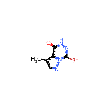 Cc1cnn2c(Br)n[nH]c(=O)c12